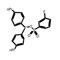 CCCc1ccc([I+](OS(=O)(=O)c2cccc(F)c2)c2ccc(CCC)cc2)cc1